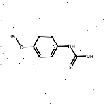 CC(C)Oc1ccc(NC(O)=S)cc1